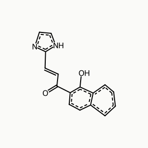 O=C(C=Cc1ncc[nH]1)c1ccc2ccccc2c1O